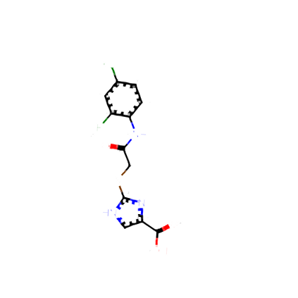 O=C(CSc1nc(C(=O)O)c[nH]1)Nc1ccc(Cl)cc1F